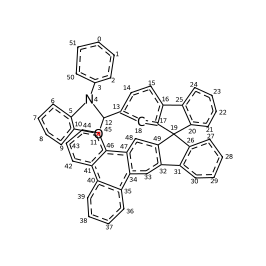 c1ccc(N2c3ccccc3OC2c2ccc3c(c2)C2(c4ccccc4-3)c3ccccc3-c3cc4c5ccccc5c5ccccc5c4cc32)cc1